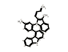 C=C/C=C\c1c(C)c2ccccc2n1-c1cc(N)ccc1-c1cccc2sc3ccccc3c12